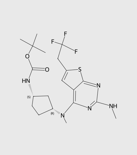 CNc1nc(N(C)[C@@H]2CC[C@H](NC(=O)OC(C)(C)C)C2)c2cc(CC(F)(F)F)sc2n1